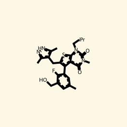 Cc1cc(CO)c(F)c(-c2c(Cc3c(C)n[nH]c3C)sc3c2c(=O)n(C)c(=O)n3CC(C)C)c1